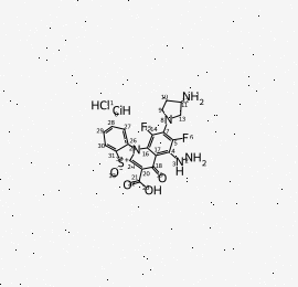 Cl.Cl.NNc1c(F)c(N2CCC(N)C2)c(F)c2c1c(=O)c(C(=O)O)c1n2c2ccccc2[s+]1[O-]